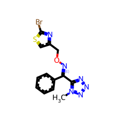 Cn1nnnc1/C(=N/OCc1csc(Br)n1)c1ccccc1